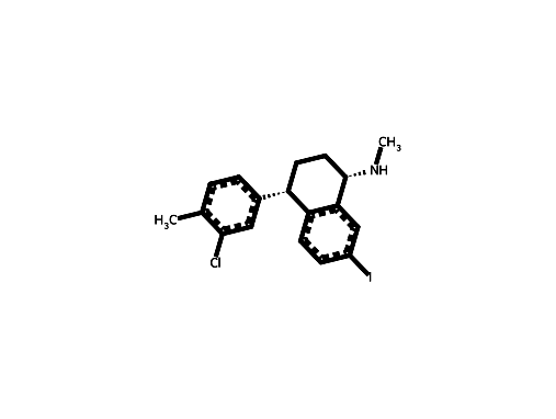 CN[C@H]1CC[C@@H](c2ccc(C)c(Cl)c2)c2ccc(I)cc21